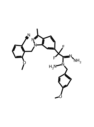 COc1ccc(CN(N)/C(=N\N)C(F)(F)c2ccc3c(C)nn(Cc4c(C#N)cccc4OC)c3c2)cc1